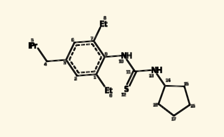 CCc1cc(CC(C)C)cc(CC)c1NC(=S)NC1CCCC1